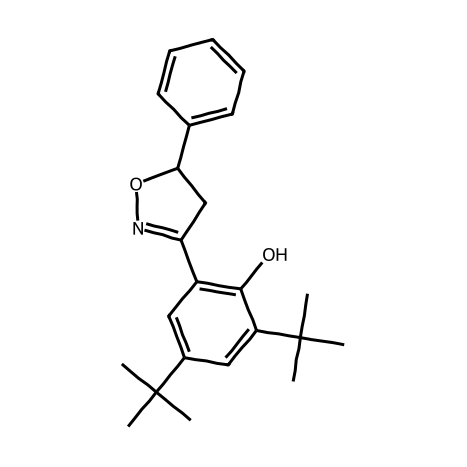 CC(C)(C)c1cc(C2=NOC(c3ccccc3)C2)c(O)c(C(C)(C)C)c1